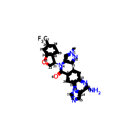 Cn1cc(N(C(=O)c2ccc3nc(N)c4cncn4c3c2)[C@@H]2COc3cc(C(F)(F)F)ccc32)cn1